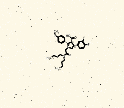 CCCCN(CCCC)C(=O)CN1C[C@H](c2ccc(F)c(F)c2)[C@H](C(=O)O)[C@H]1c1ccc(OC)cc1